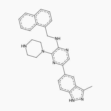 Cc1n[nH]c2ccc(-c3cnc(NCc4cccc5ccccc45)c(N4CCNCC4)n3)cc12